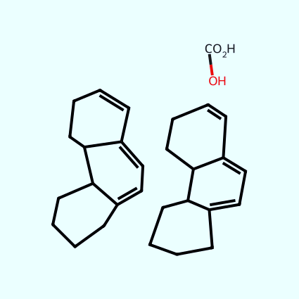 C1=CC2=CC=C3CCCCC3C2CC1.C1=CC2=CC=C3CCCCC3C2CC1.O=C(O)O